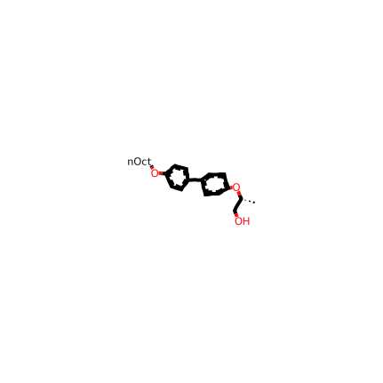 CCCCCCCCOc1ccc(-c2ccc(O[C@H](C)CO)cc2)cc1